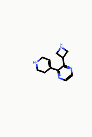 C1=C(c2nccnc2C2CNC2)CCNC1